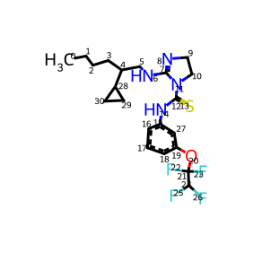 CCCCC(CNC1=NCCN1C(=S)Nc1cccc(OC(F)(F)C(F)F)c1)C1CC1